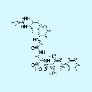 N=C(N)Nc1ccc2c(c1)C(NCC(=O)NCC(NC(=O)c1c(Cl)cc(-c3ccccc3)cc1Cl)C(=O)O)CCO2